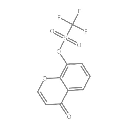 O=c1ccoc2c(OS(=O)(=O)C(F)(F)F)cccc12